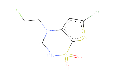 O=S1(=O)NCN(CCF)c2cc(Cl)sc21